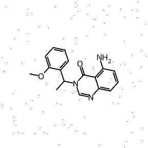 COc1ccccc1C(C)n1cnc2cccc(N)c2c1=O